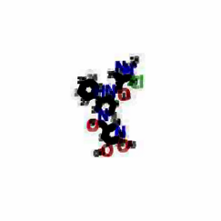 COc1cc(C(=O)N2CC[C@@H](NC(=O)c3cnn(C)c3Cl)[C@@H](c3ccccc3)C2)cnc1OC